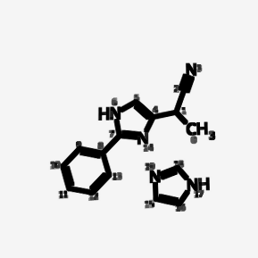 CC(C#N)c1c[nH]c(-c2ccccc2)n1.c1c[nH]cn1